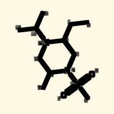 CCC1CN(S(C)(=O)=O)C(C)CN1C(C)C